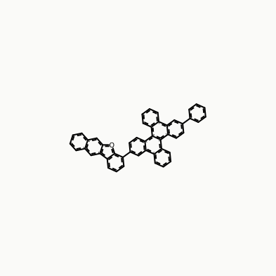 c1ccc(-c2ccc3c(c2)c2ccccc2c2c4ccc(-c5cccc6c5oc5cc7ccccc7cc56)cc4c4ccccc4c32)cc1